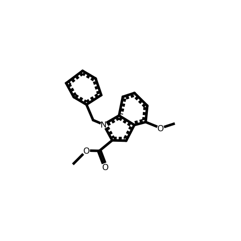 COC(=O)c1cc2c(OC)cccc2n1Cc1ccccc1